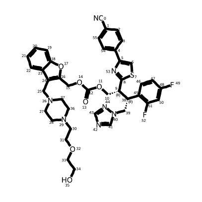 N#Cc1ccc(-c2csc([C@@H](COC(=O)OCc3oc4ccccc4c3CN3CCN(CCOCCO)CC3)[C@@H](Cn3cncn3)c3ccc(F)cc3F)n2)cc1